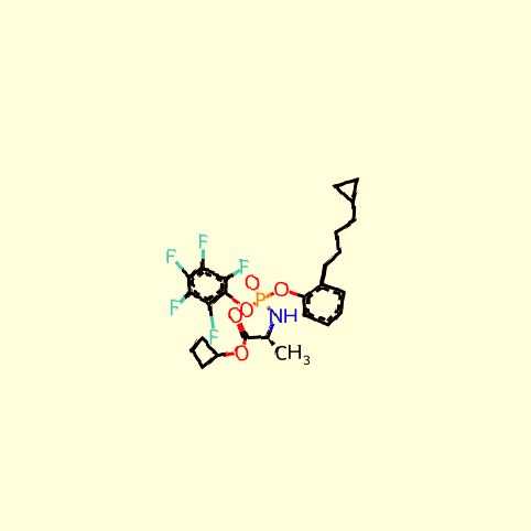 C[C@H](NP(=O)(Oc1ccccc1CCCCC1CC1)Oc1c(F)c(F)c(F)c(F)c1F)C(=O)OC1CCC1